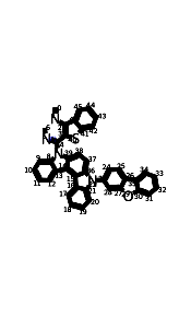 C=Nc1c(/C(=N\C)n2c3ccccc3c3c4c5ccccc5n(-c5ccc6c(c5)oc5ccccc56)c4ccc32)sc2ccccc12